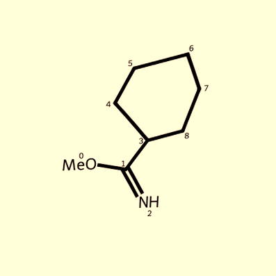 COC(=N)C1CCCCC1